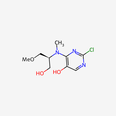 COC[C@H](CO)N(C)c1nc(Cl)ncc1O